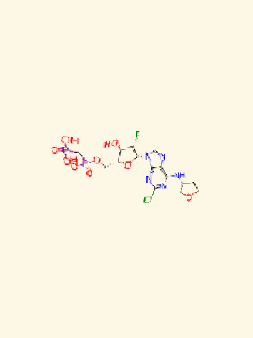 O=P(O)(O)CP(=O)(O)OC[C@H]1O[C@@H](n2cnc3c(NC4CCOC4)nc(Cl)nc32)[C@@H](F)[C@@H]1O